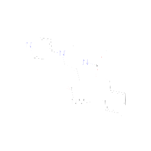 CNC(=O)CC1CN(c2ccnc(C)c2)CCN1C(=O)OCc1ccccc1